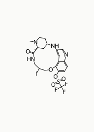 CN1CCC2CC1(C)C(=O)NCC(I)COc1c(OS(=O)(=O)C(F)(F)F)ccc3ncc(cc13)N2